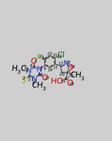 Cn1c(=S)n(C)c(=O)n(-c2cc(C3=NO[C@@](C)(C(=O)O)C3)c(Cl)cc2F)c1=O